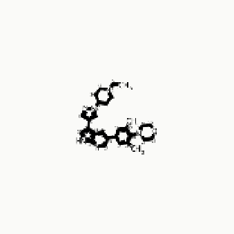 CCN1CCC(n2cc(-c3c[nH]c4ncc(-c5cc(C)c(N6CCOCC6)c(C)c5)cc34)cn2)CC1